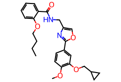 CCCCOc1ccccc1C(=O)NCc1coc(-c2ccc(OC)c(OCC3CC3)c2)n1